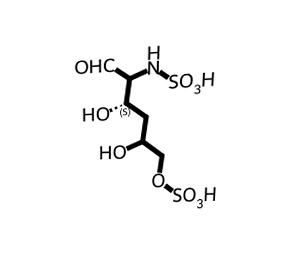 O=CC(NS(=O)(=O)O)[C@@H](O)CC(O)COS(=O)(=O)O